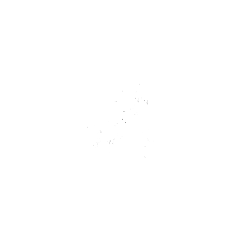 Cc1nn(C(C)C)c2c1C(c1ccc(Cl)cc1)N(c1cc(Cl)c(=O)n(C)c1)C2=O